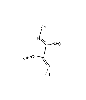 O=CC(=N\O)/C(C=O)=N/O